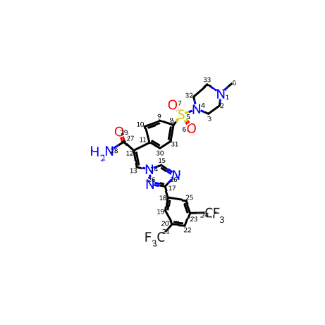 CN1CCN(S(=O)(=O)c2ccc(/C(=C\n3cnc(-c4cc(C(F)(F)F)cc(C(F)(F)F)c4)n3)C(N)=O)cc2)CC1